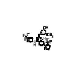 CC1CC(C)CN(C=C2N=C(Nc3ccc(C(F)(F)F)nc3)c3ccc(-c4ncccc4C(F)(F)F)cc3N2)C1